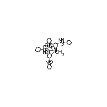 CN1c2cc(-c3nnc(-c4ccccc4)o3)cc3ccc(-c4nnc(-c5ccccc5)o4)c(c23)[C@]12Cc1cc(-c3nc4ccccc4o3)cc3ccc(-c4nc5ccccc5o4)c2c13